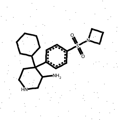 NC1CNCCC1(c1ccc(S(=O)(=O)N2CCC2)cc1)C1CCCCC1